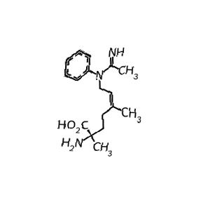 CC(=N)N(C/C=C(/C)CC[C@](C)(N)C(=O)O)c1ccccc1